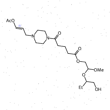 CCC(CO)OC(COC(=O)CCCC(=O)N1CCN(C/C=C/OC(C)=O)CC1)OC